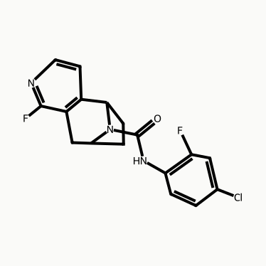 O=C(Nc1ccc(Cl)cc1F)N1C2CCC1c1ccnc(F)c1C2